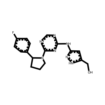 OCc1cc(Nc2ncnc(N3CCCC3c3ccc(F)cc3)n2)n[nH]1